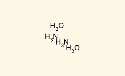 N.N.O.O